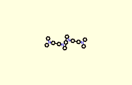 c1ccc(N(c2ccccc2)c2ccc(-c3ccc(-n4c5ccccc5c5cc6c(cc54)c4ccccc4n6-c4ccc(-c5ccc(N(c6ccccc6)c6ccccc6)cc5)cc4)cc3)cc2)cc1